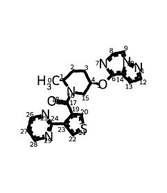 C[C@@H]1CC[C@@H](Oc2nccn3nccc23)CN1C(=O)c1cscc1-c1ncccn1